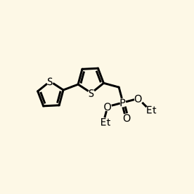 CCOP(=O)(Cc1ccc(-c2cccs2)s1)OCC